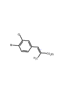 CCOC(=O)/C(C)=C/c1ccc(Br)c(Cl)c1